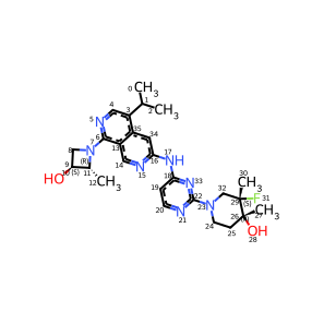 CC(C)c1cnc(N2C[C@H](O)[C@H]2C)c2cnc(Nc3ccnc(N4CC[C@@](C)(O)[C@@](C)(F)C4)n3)cc12